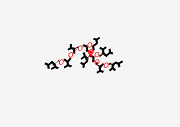 CC(C)CC(COC[C@H](CC(C)C)C(C)C)OC(COCC(COC[C@@H](COC[C@@H](CC(C)C)C(C)C)C(C)C)OC[C@H](CC(C)C)C(C)C)COC[C@@H](COCC(COC[C@@H](CC(C)C)C(C)C)C(C)C)C(C)C